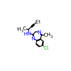 CCC#CC(C)NC1=Nc2ccc(Cl)cc2C(C)=NC1